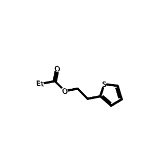 CCC(=O)OCCc1cccs1